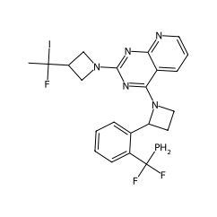 CC(F)(I)C1CN(c2nc(N3CCC3c3ccccc3C(F)(F)P)c3cccnc3n2)C1